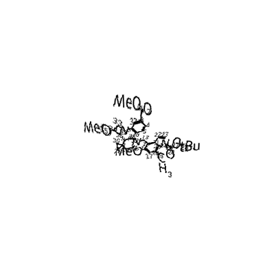 COC(=O)c1ccc([C@@H]2CC3(CCN2Cc2c(OC)cc(C)c4c2ccn4C(=O)OC(C)(C)C)CC3)c(N2CC(OC)C2)c1